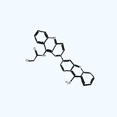 Nc1c2ccccc2nc2cc(-c3ccc4nc5ccccc5c(NC(=O)CCl)c4c3)ccc12